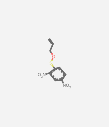 C=CCOSc1ccc([N+](=O)[O-])cc1[N+](=O)[O-]